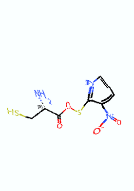 N[C@@H](CS)C(=O)OSc1ncccc1[N+](=O)[O-]